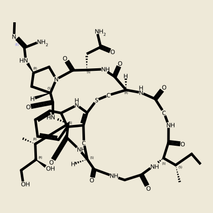 CC[C@H](C)[C@@H]1NC(=O)CNC(=O)[C@@H]2CC3=C(NC4C=CC=CC34)SC[C@H](NC(=O)CNC1=O)C(=O)N[C@@H](CC(N)=O)C(=O)N1C[C@H](N/C(N)=N/C)C[C@H]1C(=O)N[C@@H]([C@@H](C)[C@@H](O)CO)C(=O)N2